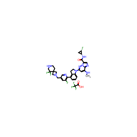 CNc1cc(N2CCc3c(-c4ncc(CN5CC6(CCNCC6(F)F)C5)cc4F)cccc32)nn2c(C(=O)N[C@@H]3C[C@@H]3F)cnc12.O=C(O)C(F)(F)F